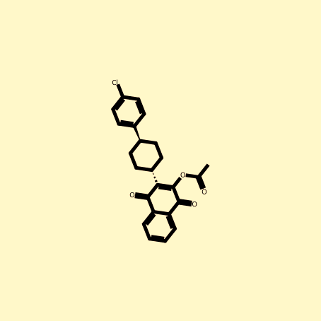 CC(=O)OC1=C([C@H]2CC[C@H](c3ccc(Cl)cc3)CC2)C(=O)c2ccccc2C1=O